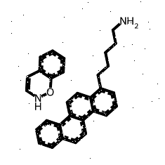 C1=Cc2ccccc2ON1.NCCCCCc1cccc2c1ccc1c3ccccc3ccc21